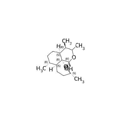 CC1O[C@@H]2O[C@]3(C)CC[C@H]4[C@H](C)CC[C@@H]([C@H]1C)[C@@]24OO3